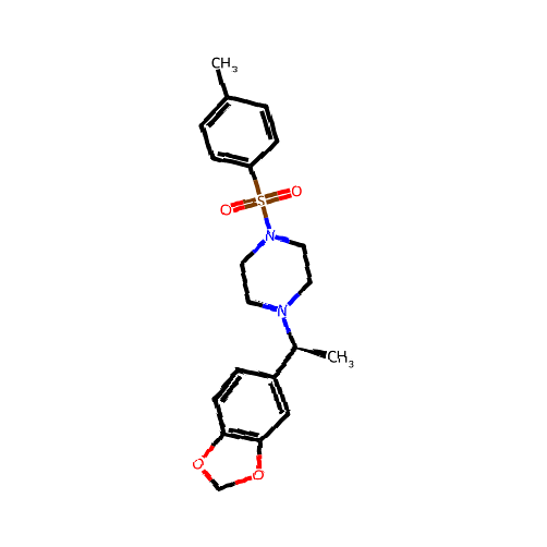 Cc1ccc(S(=O)(=O)N2CCN([C@@H](C)c3ccc4c(c3)OCO4)CC2)cc1